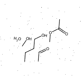 CC=O.CCCCO.CO.COC(C)=O.O